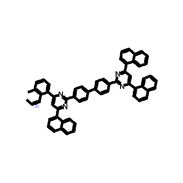 C/C=C\c1c(C)cccc1-c1cc(-c2cccc3ccccc23)nc(-c2ccc(-c3ccc(-c4nc(-c5cccc6ccccc56)cc(-c5cccc6ccccc56)n4)cc3)cc2)n1